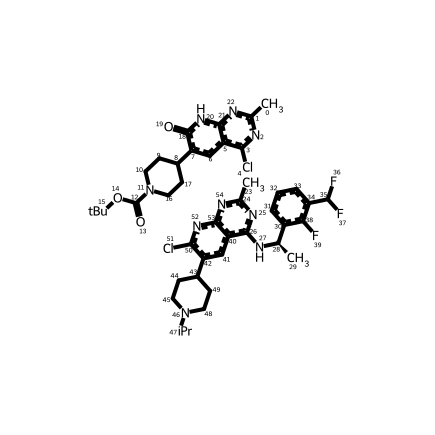 Cc1nc(Cl)c2cc(C3CCN(C(=O)OC(C)(C)C)CC3)c(=O)[nH]c2n1.Cc1nc(N[C@H](C)c2cccc(C(F)F)c2F)c2cc(C3CCN(C(C)C)CC3)c(Cl)nc2n1